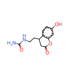 NC(=O)NCCC1CC(=O)Oc2cc(O)ccc21